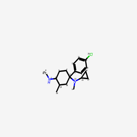 CC(C)NC1CCC(c2ccc(Cl)cc2)(N(C)C2CC2)CC1C